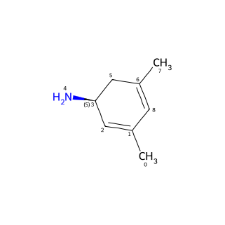 CC1=C[C@@H](N)CC(C)=C1